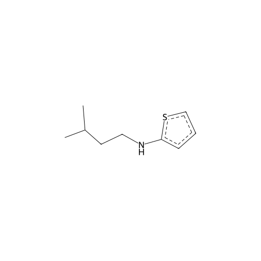 CC(C)CCNc1cccs1